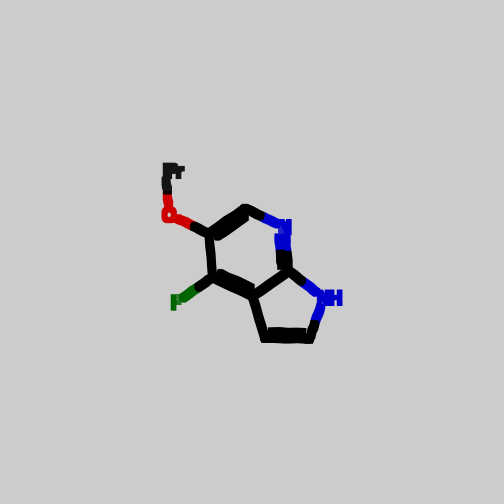 CC(C)Oc1cnc2[nH]ccc2c1F